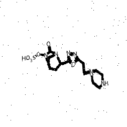 O=C1N2CC(CCC2c2nnc(CCN3CCNCC3)o2)N1OS(=O)(=O)O